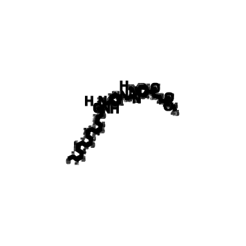 CC/C=C\C/C=C\C/C=C\C/C=C\C/C=C\C/C=C\CC(=O)NC(N)c1ccc(NCc2nc3cc(C(=O)CCCC(=O)OCC)ccc3n2C)cc1